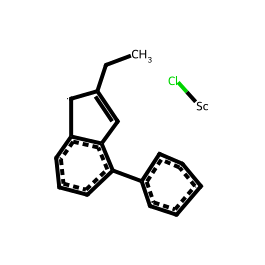 CCC1=Cc2c(cccc2-c2ccccc2)[CH]1.[Cl][Sc]